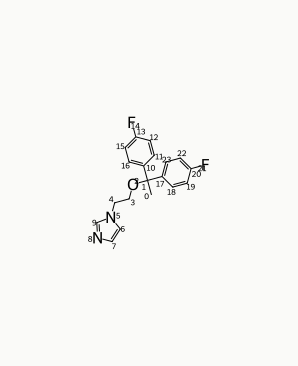 CC(OCCn1ccnc1)(c1ccc(F)cc1)c1ccc(F)cc1